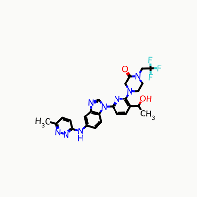 Cc1ccc(Nc2ccc3c(c2)ncn3-c2ccc(C(C)O)c(N3CCN(CC(F)(F)F)C(=O)C3)n2)nn1